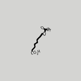 CC(C)C(=O)OCCCCCCCC(=O)O